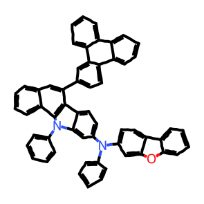 c1ccc(N(c2ccc3c(c2)oc2ccccc23)c2ccc3c4c(-c5ccc6c7ccccc7c7ccccc7c6c5)cc5ccccc5c4n(-c4ccccc4)c3c2)cc1